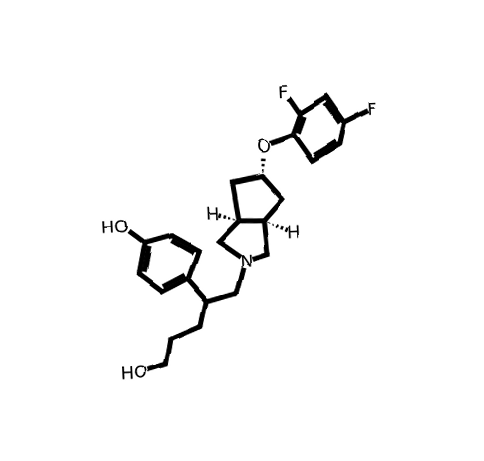 OCCCC(CN1C[C@H]2C[C@H](Oc3ccc(F)cc3F)C[C@H]2C1)c1ccc(O)cc1